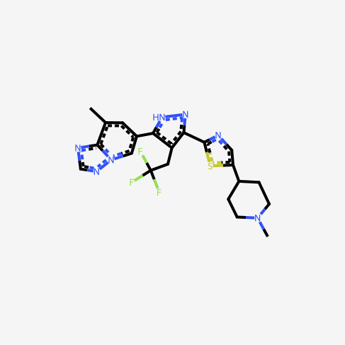 Cc1cc(-c2[nH]nc(-c3ncc(C4CCN(C)CC4)s3)c2CC(F)(F)F)cn2ncnc12